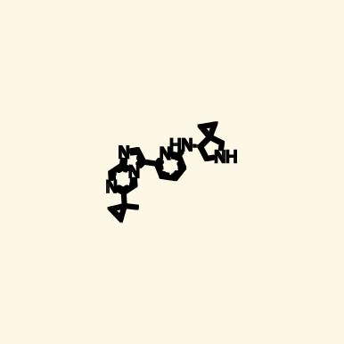 CC1(c2cn3c(-c4cccc(N[C@H]5CNCC56CC6)n4)cnc3cn2)CC1